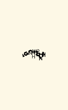 Cc1nn(C)c(C)c1-c1cc(C(=O)c2nc3ccc(N4CCC(N(C)C)CC4)nc3[nH]2)ccc1C#N